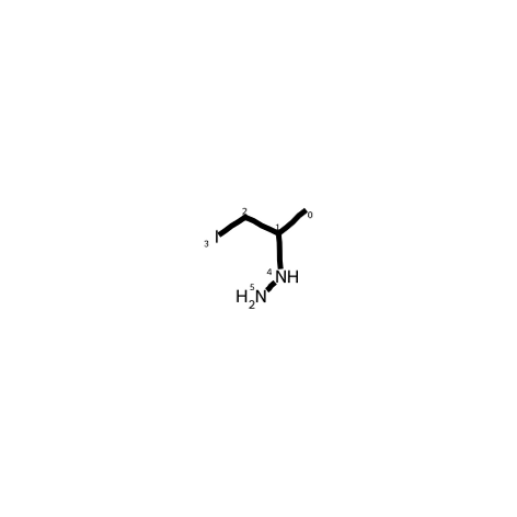 CC(CI)NN